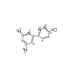 [3H]c1cc([3H])nc(-c2ccc(Cl)nn2)c1